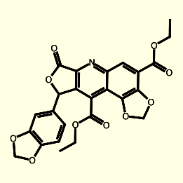 CCOC(=O)c1cc2nc3c(c(C(=O)OCC)c2c2c1OCO2)C(c1ccc2c(c1)OCO2)OC3=O